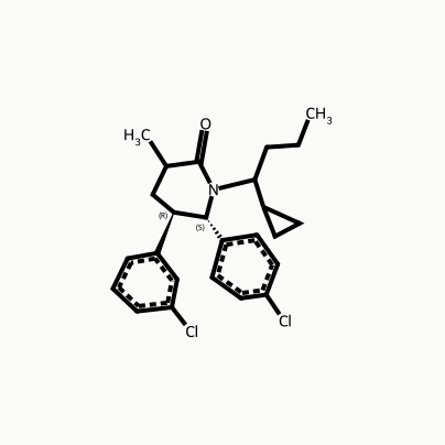 CCCC(C1CC1)N1C(=O)C(C)C[C@H](c2cccc(Cl)c2)[C@H]1c1ccc(Cl)cc1